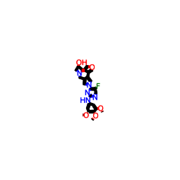 COc1cc(Nc2ncc(F)c(-n3cc(CN4CC(O)C4)c(-c4ccoc4)c3)n2)cc(OC)c1OC